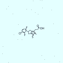 Cn1c(CCC(=O)O)c2n(c1=S)CC(c1c(F)ccc(Cl)c1F)C2